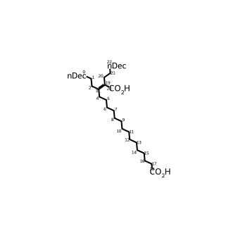 CCCCCCCCCCCCC(CCCCCCCCCCCCCCC(=O)O)=C(CCCCCCCCCCCC)C(=O)O